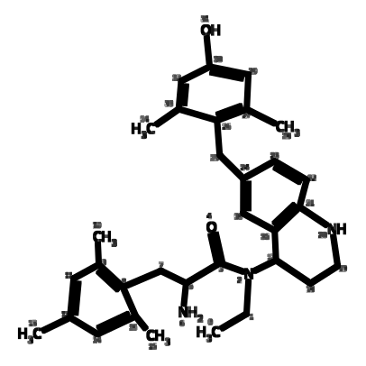 CCN(C(=O)C(N)Cc1c(C)cc(C)cc1C)C1CCNc2ccc(Cc3c(C)cc(O)cc3C)cc21